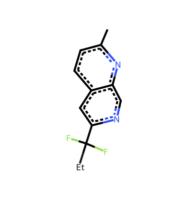 CCC(F)(F)c1cc2ccc(C)nc2cn1